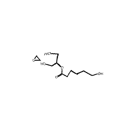 C1CO1.CCCCCCCCCCCCCCCC(=O)OC(CO)CO